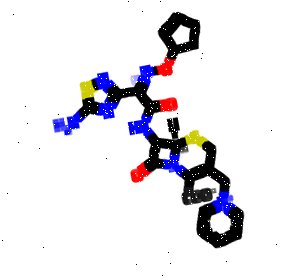 Nc1nc(/C(=N/OC2C=CCC2)C(=O)NC2C(=O)N3C(C(=O)[O-])=C(C[n+]4ccccc4)CS[C@H]23)ns1